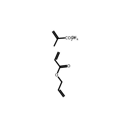 C.C=C(C)C(=O)O.C=CCOC(=O)C=C